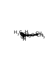 Cc1ccc(S(=O)(=O)[SH](S)CNCCOCCOCCCC(C)C)cc1